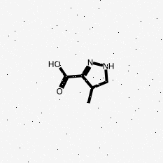 CC1CNN=C1C(=O)O